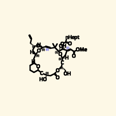 C=CC[C@H]1C[C@H]2C[C@H]3CCCC(C[C@@H](O)CC(=O)O[C@@H](CO)C[C@@H]4C/C(=C\C(=O)OC)[C@H](OC(=O)CCCCCCC)[C@@](O)(O4)C(C)(C)/C=C/[C@H](O2)O1)O3